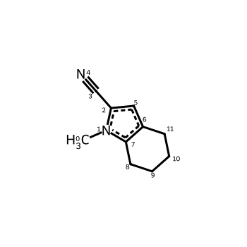 Cn1c(C#N)cc2c1CCCC2